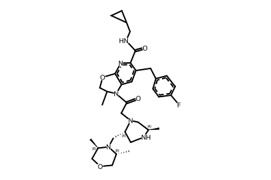 CC1COc2nc(C(=O)NCC3CC3)c(Cc3ccc(F)cc3)cc2N1C(=O)CN1C[C@@H](C)NC[C@@H]1CN1[C@H](C)COC[C@H]1C